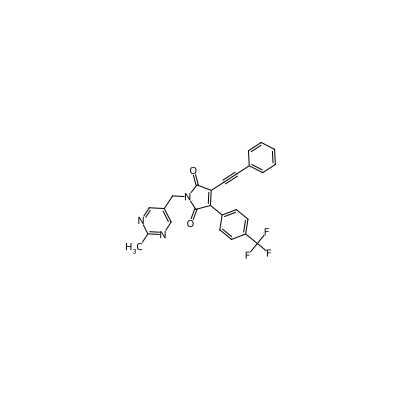 Cc1ncc(CN2C(=O)C(C#Cc3ccccc3)=C(c3ccc(C(F)(F)F)cc3)C2=O)cn1